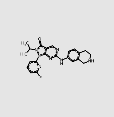 CC(C)n1c(=O)c2cnc(Nc3ccc4c(c3)CNCC4)nc2n1-c1cccc(F)n1